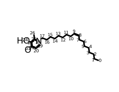 CCCCCCCC/C=C\CCCCCCCCn1ccc(=O)c(O)c1C